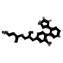 CC=CC(=O)OCC(O)Cc1ccc(-c2ccccc2-c2c[nH]nn2)c(O)c1